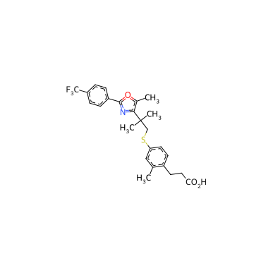 Cc1cc(SCC(C)(C)c2nc(-c3ccc(C(F)(F)F)cc3)oc2C)ccc1CCC(=O)O